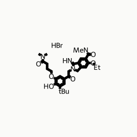 Br.CCOc1cc2c(cc1C(=O)NC)C(=N)N(CC(=O)c1cc(OCCCC(=O)N(C)C)c(O)c(C(C)(C)C)c1)C2